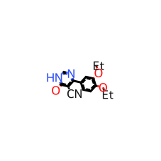 CCOc1ccc(-c2nc[nH]c(=O)c2C#N)cc1OCC